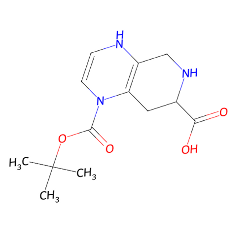 CC(C)(C)OC(=O)N1C=CNC2=C1CC(C(=O)O)NC2